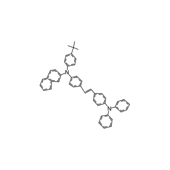 CC(C)(C)c1ccc(N(c2ccc(/C=C/c3ccc(N(c4ccccc4)c4ccccc4)cc3)cc2)c2ccc3ccccc3c2)cc1